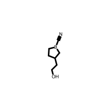 N#CB1CCC(CCO)C1